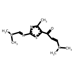 Cc1nc(/N=C/N(C)C)sc1C(=O)/C=C/N(C)C